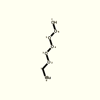 CC(C)(C)COOOOOO